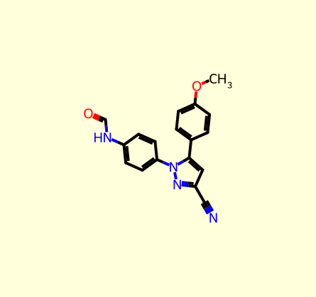 COc1ccc(-c2cc(C#N)nn2-c2ccc(NC=O)cc2)cc1